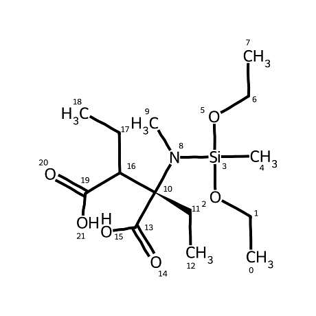 CCO[Si](C)(OCC)N(C)[C@](CC)(C(=O)O)C(CC)C(=O)O